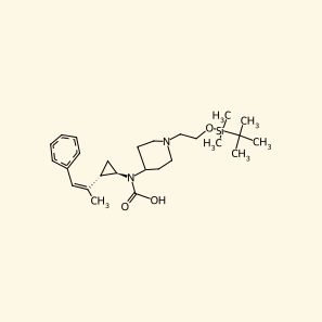 CC(=Cc1ccccc1)[C@@H]1C[C@H]1N(C(=O)O)C1CCN(CCO[Si](C)(C)C(C)(C)C)CC1